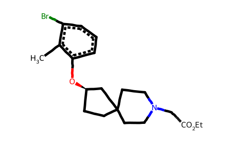 CCOC(=O)CN1CCC2(CC[C@@H](Oc3cccc(Br)c3C)C2)CC1